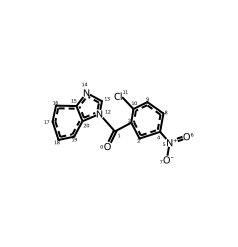 O=C(c1cc([N+](=O)[O-])ccc1Cl)n1cnc2ccccc21